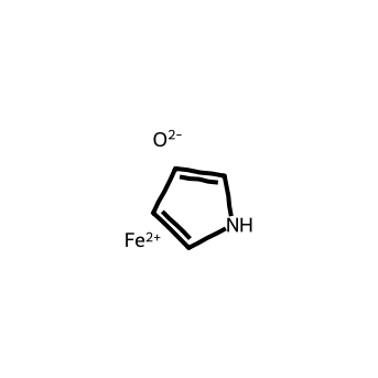 [Fe+2].[O-2].c1cc[nH]c1